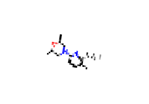 Cc1ccc(N2CC(C)OC(C)C2)nc1C(=O)O